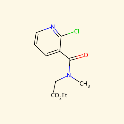 CCOC(=O)CN(C)C(=O)c1cccnc1Cl